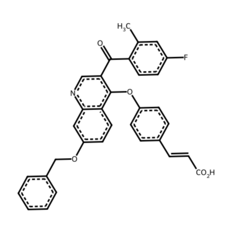 Cc1cc(F)ccc1C(=O)c1cnc2cc(OCc3ccccc3)ccc2c1Oc1ccc(/C=C/C(=O)O)cc1